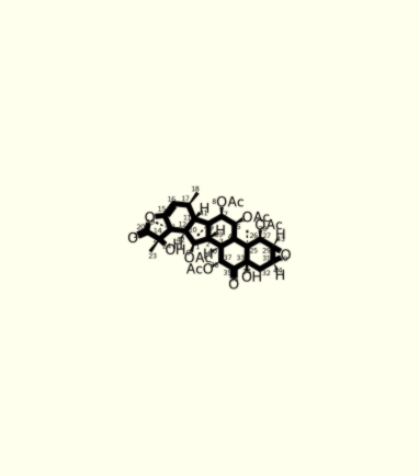 CC(=O)O[C@@H]1[C@H]2[C@H]3C([C@H](OC(C)=O)[C@H](OC(C)=O)[C@]2(C)[C@@H]2[C@@H]1[C@]1(C)C(=C[C@H]2C)OC(=O)[C@@]1(C)O)[C@@]1(C)[C@@H](OC(C)=O)[C@H]2O[C@H]2C[C@]1(O)C(=O)[C@@H]3OC(C)=O